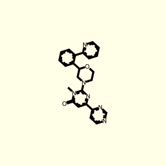 Cn1c(N2CCOC(c3ccccc3-c3ccccn3)C2)nc(-c2ccncn2)cc1=O